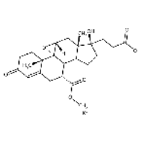 COC(=O)[C@@H]1CC2=CC(=O)CC[C@]2(C)[C@@]23O[C@@H]2C[C@@]2(C)C(CC[C@@]2(O)CCC(=O)[O-])C13.[K+]